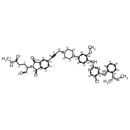 CNC(=O)CCC(C=O)N1C(=O)c2ccc(C#CCN3CCN(c4ccc(Nc5ncc(Cl)c(Nc6ccccc6N(C)SC)n5)c(OC)c4)CC3)cc2C1=O